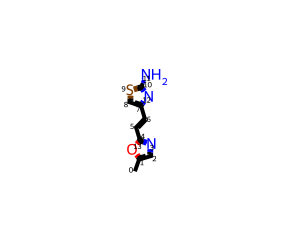 Cc1cnc(/C=C/c2csc(N)n2)o1